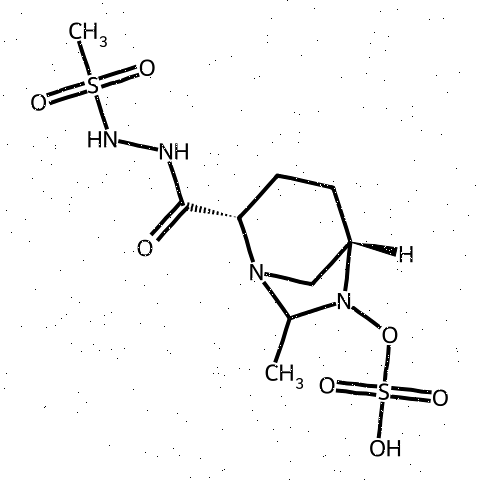 CC1N2C[C@H](CC[C@H]2C(=O)NNS(C)(=O)=O)N1OS(=O)(=O)O